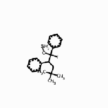 CC(C)(C)CC(c1ccccc1)C(I)(O[SiH3])c1ccccc1